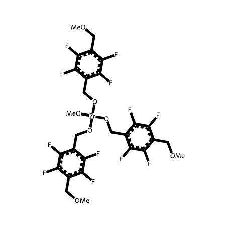 COCc1c(F)c(F)c(C[O][Zr]([O]C)([O]Cc2c(F)c(F)c(COC)c(F)c2F)[O]Cc2c(F)c(F)c(COC)c(F)c2F)c(F)c1F